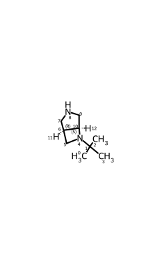 CC(C)(C)N1C[C@H]2CNC[C@H]21